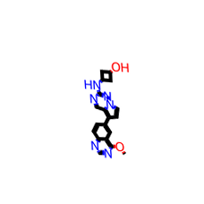 COc1ncnc2ccc(-c3ccn4nc(NC5CC(O)C5)ncc34)cc12